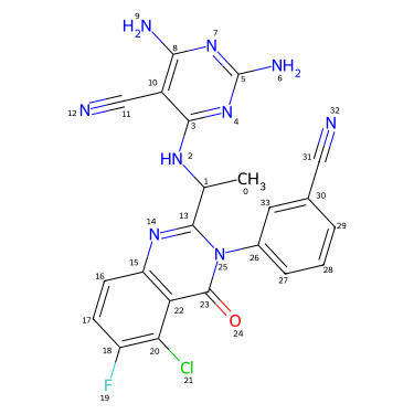 CC(Nc1nc(N)nc(N)c1C#N)c1nc2ccc(F)c(Cl)c2c(=O)n1-c1cccc(C#N)c1